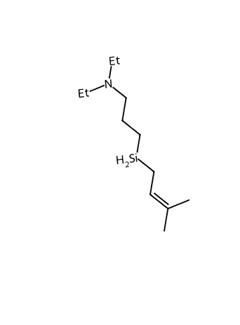 CCN(CC)CCC[SiH2]CC=C(C)C